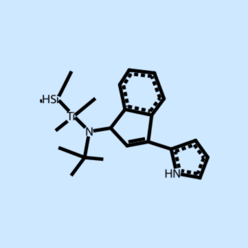 C[SiH](C)[Ti]([CH3])([CH3])[N](C1C=C(c2ccc[nH]2)c2ccccc21)C(C)(C)C